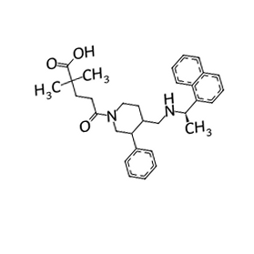 C[C@@H](NCC1CCN(C(=O)CCC(C)(C)C(=O)O)CC1c1ccccc1)c1cccc2ccccc12